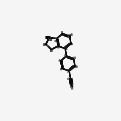 N#Cc1ccc(-c2cncc3c2CCN3)cc1